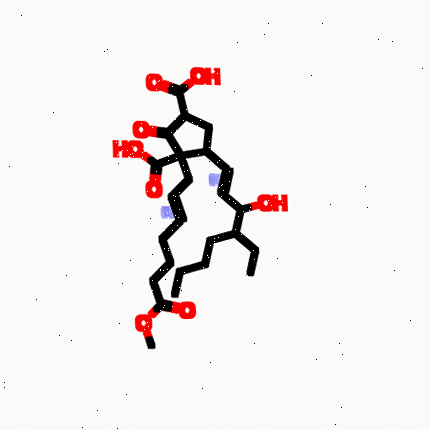 CCCCC(CC)C(O)/C=C/C1CC(C(=O)O)C(=O)C1(C/C=C/CCCC(=O)OC)C(=O)O